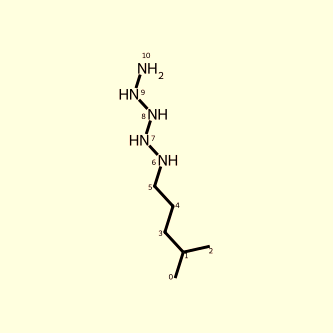 CC(C)CCCNNNNN